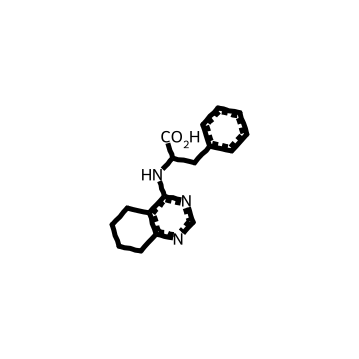 O=C(O)C(Cc1ccccc1)Nc1ncnc2c1CCCC2